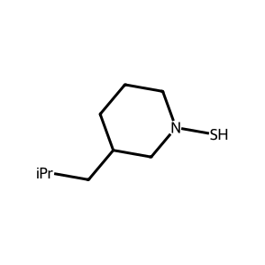 CC(C)CC1CCCN(S)C1